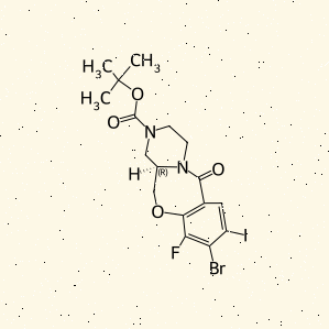 CC(C)(C)OC(=O)N1CCN2C(=O)c3cc(I)c(Br)c(F)c3OC[C@H]2C1